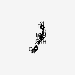 CN1Cc2ccc(OCC(=O)NC3=C4CC(NC(=O)COc5ccc(Cl)c(F)c5)(C4)[C@@H](O)C3)cc2C1=O